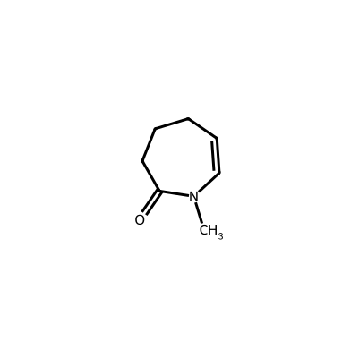 CN1C=CCCCC1=O